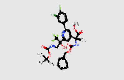 COC(=O)C(C)(NC(=O)OCc1ccccc1)c1cc(-c2ccc(F)c(Cl)c2)nc(C(O)(CNC(=O)OC(C)(C)C)C(F)(F)F)c1